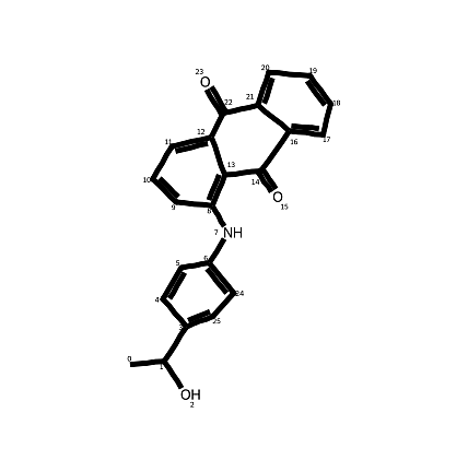 CC(O)c1ccc(Nc2cccc3c2C(=O)c2ccccc2C3=O)cc1